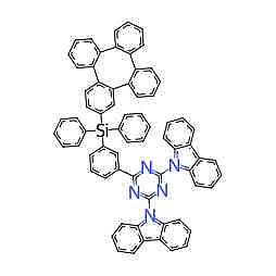 c1ccc([Si](c2ccccc2)(c2cccc(-c3nc(-n4c5ccccc5c5ccccc54)nc(-n4c5ccccc5c5ccccc54)n3)c2)c2ccc3c(c2)-c2ccccc2-c2ccccc2-c2ccccc2-3)cc1